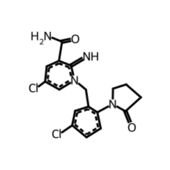 N=c1c(C(N)=O)cc(Cl)cn1Cc1cc(Cl)ccc1N1CCCC1=O